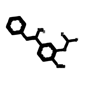 COc1ccc(C(=Cc2ccccc2)[N+](=O)[O-])cc1OC(F)F